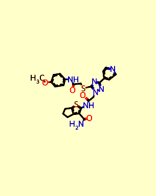 COc1ccc(NC(=O)CSc2nc(-c3ccncc3)nn2CC(=O)Nc2sc3c(c2C(N)=O)CCC3)cc1